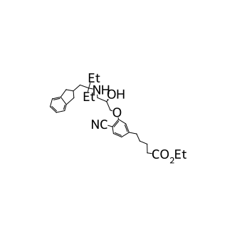 CCOC(=O)CCCCc1ccc(C#N)c(OC[C@H](O)CNC(CC)(CC)CC2Cc3ccccc3C2)c1